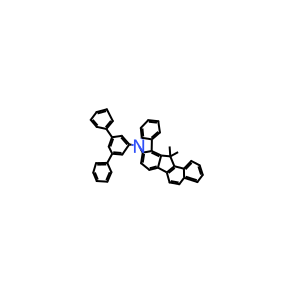 CC1(C)c2c(ccc3ccccc23)-c2ccc3c(c21)c1ccccc1n3-c1cc(-c2ccccc2)cc(-c2ccccc2)c1